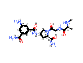 CN[C@@H](C)C(=O)NCC(=O)N1C[C@@H](NC(=O)c2cc(N)cc(C(N)=O)c2)C[C@H]1C(N)=O